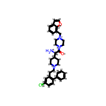 N[C@@H](C(=O)N1CCN(Cc2cccc3ccoc23)CC1)C1CCN(CCc2cc(Cl)ccc2-c2ccccc2)CC1